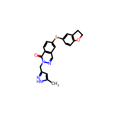 Cc1cc(Cn2ncc3cc(Sc4ccc5c(c4)CCO5)ccc3c2=O)n[nH]1